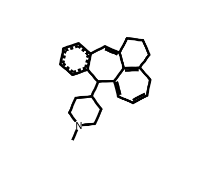 CN1CCC(C2C3=CC=CCC4=C3C(=Cc3ccccc32)CCC4)CC1